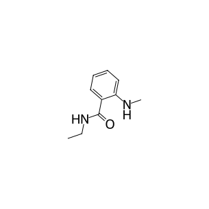 CCNC(=O)c1ccccc1NC